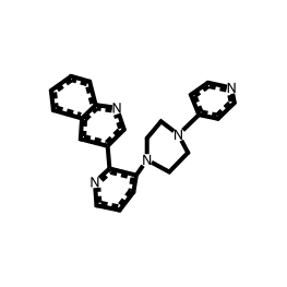 c1cnc(-c2cnc3ccccc3c2)c(N2CCN(c3ccncc3)CC2)c1